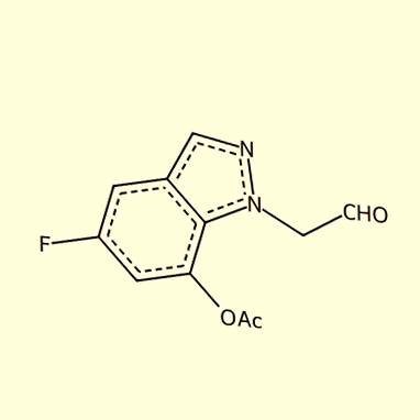 CC(=O)Oc1cc(F)cc2cnn(CC=O)c12